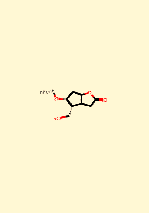 CCCCCO[C@H]1CC2OC(=O)CC2[C@@H]1CO